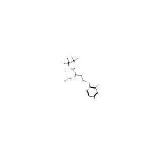 Cc1cc(Cl)ccc1OCCC(N[S@@+]([O-])C(C)(C)C)B1OC(C)(C)C(C)(C)O1